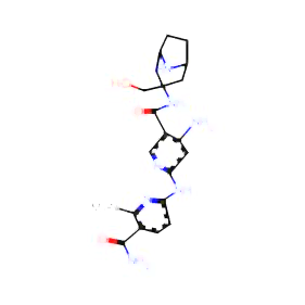 CNc1nc(Nc2cc(N)c(C(=O)NC3(CO)CC4CCC(C3)N4)cn2)ccc1C(N)=O